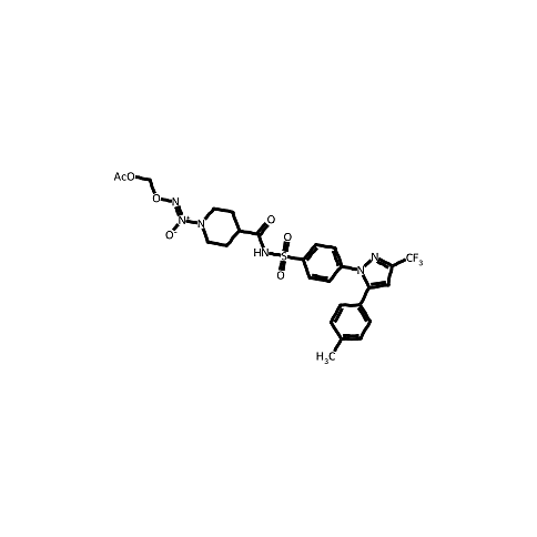 CC(=O)OCON=[N+]([O-])N1CCC(C(=O)NS(=O)(=O)c2ccc(-n3nc(C(F)(F)F)cc3-c3ccc(C)cc3)cc2)CC1